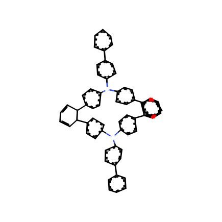 C1=CC(c2ccc(N(c3ccc(-c4ccccc4)cc3)c3ccc(-c4ccccc4)cc3)cc2)C(c2ccc(N(c3ccc(-c4ccccc4)cc3)c3ccc(-c4ccccc4)cc3)cc2)C=C1